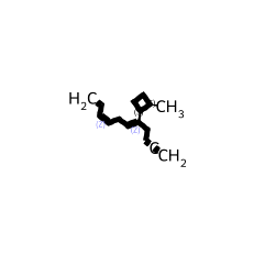 C=C=CC/C(=C/C/C=C\C=C)[C@H]1CC[C@@H]1C